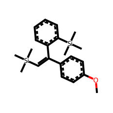 COc1ccc(C(=C[Si](C)(C)C)c2ccccc2[Si](C)(C)C)cc1